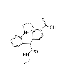 CCNC(=O)C(c1ccc(C(=O)O)cc1)c1ccccc1N1CCCC1